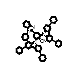 N#Cc1c(-n2c3ccc(-c4ccccc4)cc3c3cc(-c4ccccc4)ccc32)cc(-c2nc3ccccc3n2-c2ccccc2)cc1-n1c2ccc(-c3ccccc3)cc2c2cc(-c3ccccc3)ccc21